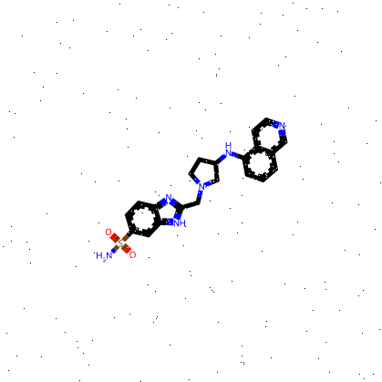 NS(=O)(=O)c1ccc2nc(CN3CCC(Nc4cccc5cnccc45)C3)[nH]c2c1